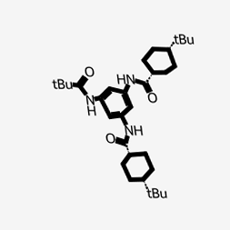 CC(C)(C)C(=O)Nc1cc(NC(=O)[C@H]2CC[C@@H](C(C)(C)C)CC2)cc(NC(=O)[C@H]2CC[C@@H](C(C)(C)C)CC2)c1